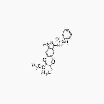 CCC(Oc1ccc2[nH]nc(NC(=O)Nc3ccccc3)c2c1)C(=O)OC